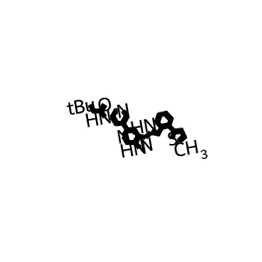 Cc1ccc(-c2cccc3[nH]c(-c4n[nH]c5cnc(-c6cncc(NC(=O)CC(C)(C)C)c6)cc45)cc23)s1